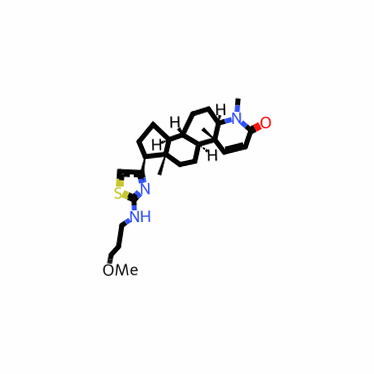 COCCCNc1nc([C@H]2CC[C@H]3[C@@H]4CC[C@H]5N(C)C(=O)C=C[C@]5(C)[C@H]4CC[C@]23C)cs1